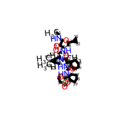 CCNC(=O)C(=O)[C@H](CCC1CC1)NC(=O)[C@@H]1[C@@H]2[C@H](CN1C(=O)[C@@H](NC(=O)NC1([C@@H]3OCCS3(=O)=O)CCCCC1)C1(C)CCCCC1)C2(C)C